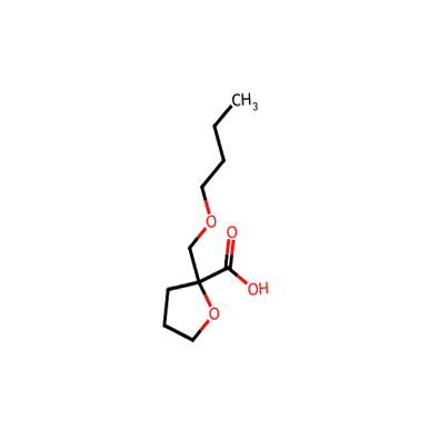 CCCCOCC1(C(=O)O)CCCO1